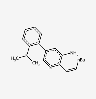 CCCC/C=C\c1ncc(-c2ccccc2N(C)C)cc1N